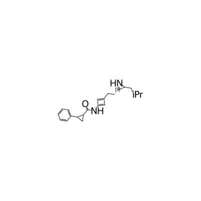 CC(C)CC1N[C@H]1CCC1=CC(NC(=O)C2CC2c2ccccc2)=C1